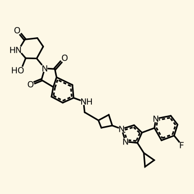 O=C1CCC(N2C(=O)c3ccc(NCC4CC(n5cc(-c6cc(F)ccn6)c(C6CC6)n5)C4)cc3C2=O)C(O)N1